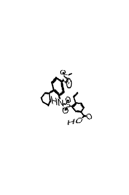 CCc1ccc(C(=O)O)cc1S(=O)(=O)Nc1cc(S(C)(=O)=O)ccc1C1CCCCC1